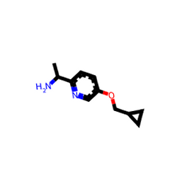 CC(N)c1ccc(OCC2CC2)cn1